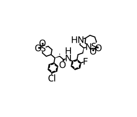 O=C([CH][C@@H](c1ccc(Cl)cc1)C1CCS(=O)(=O)CC1)Nc1cccc(F)c1CC[C@H]1CNC2CCCS(=O)(=O)N1C2